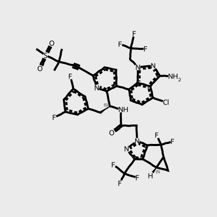 CC(C)(C#Cc1ccc(-c2ccc(Cl)c3c(N)nn(CC(F)(F)F)c23)c([C@H](Cc2cc(F)cc(F)c2)NC(=O)Cn2nc(C(F)(F)F)c3c2C(F)(F)C2C[C@H]32)n1)S(C)(=O)=O